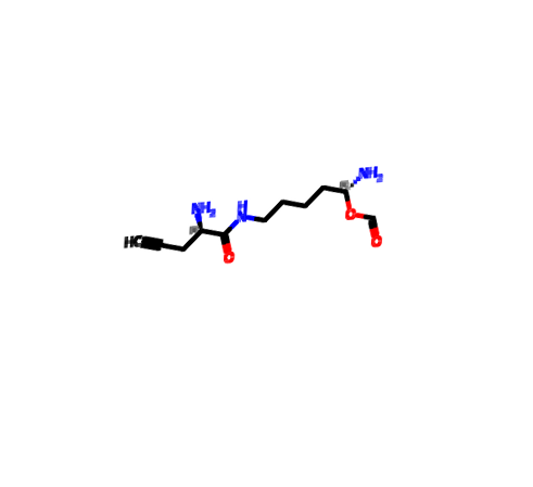 C#CC[C@@H](N)C(=O)NCCCC[C@H](N)OC=O